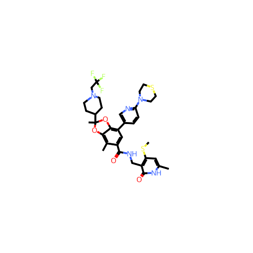 CSc1cc(C)[nH]c(=O)c1CNC(=O)c1cc(-c2ccc(N3CCSCC3)nc2)c2c(c1C)OC(C)(C1CCN(CC(F)(F)F)CC1)O2